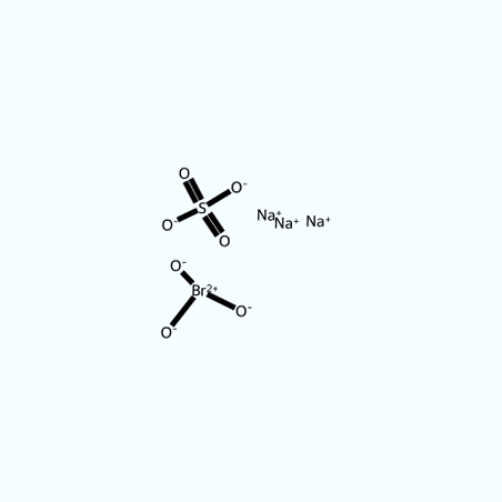 O=S(=O)([O-])[O-].[Na+].[Na+].[Na+].[O-][Br+2]([O-])[O-]